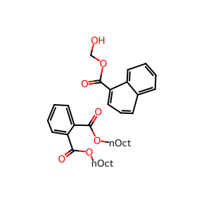 CCCCCCCCOC(=O)c1ccccc1C(=O)OCCCCCCCC.O=C(OCO)c1cccc2ccccc12